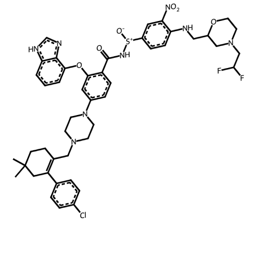 CC1(C)CCC(CN2CCN(c3ccc(C(=O)N[S+]([O-])c4ccc(NCC5CN(CC(F)F)CCO5)c([N+](=O)[O-])c4)c(Oc4cccc5[nH]cnc45)c3)CC2)=C(c2ccc(Cl)cc2)C1